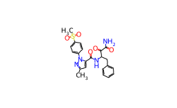 Cc1cc(C(=O)NC(Cc2ccccc2)C(=O)C(N)=O)n(-c2ccc(S(C)(=O)=O)cc2)n1